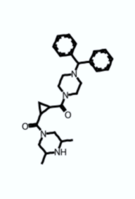 CC1CN(C(=O)C2CC2C(=O)N2CCN(C(c3ccccc3)c3ccccc3)CC2)CC(C)N1